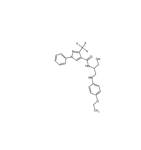 CCOc1ccc(NCC(CO)NC(=O)c2cn(-c3ccccc3)nc2C(F)(F)F)cc1